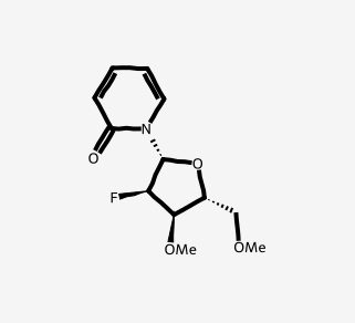 COC[C@H]1O[C@@H](n2ccccc2=O)[C@H](F)[C@@H]1OC